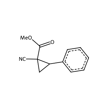 COC(=O)C1(C#N)CC1c1ccccc1